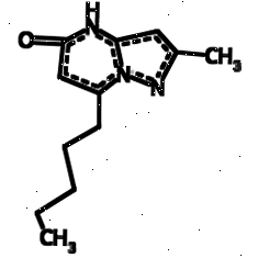 CCCCCc1cc(=O)[nH]c2cc(C)nn12